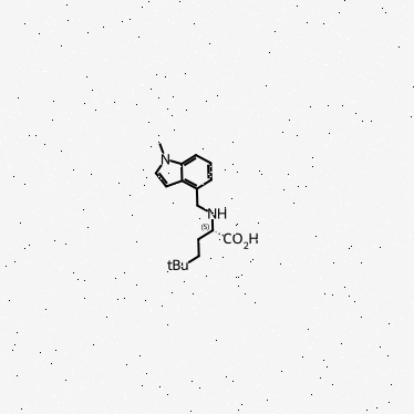 Cn1ccc2c(CN[C@@H](CCC(C)(C)C)C(=O)O)cccc21